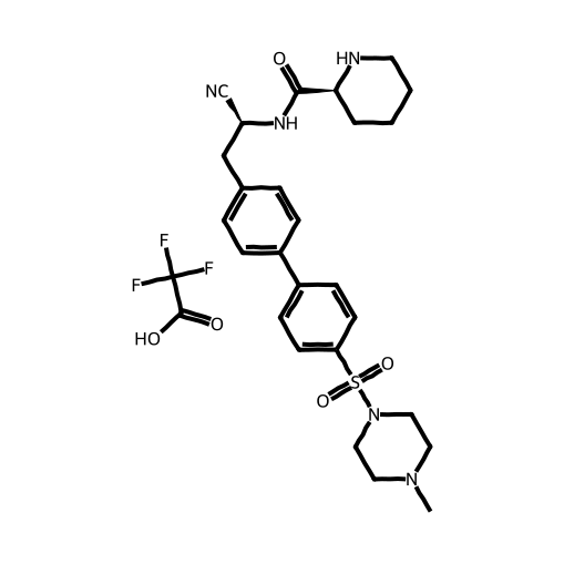 CN1CCN(S(=O)(=O)c2ccc(-c3ccc(C[C@@H](C#N)NC(=O)[C@@H]4CCCCN4)cc3)cc2)CC1.O=C(O)C(F)(F)F